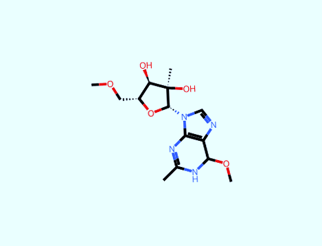 COC[C@H]1O[C@@H](n2cnc3c2N=C(C)NC3OC)[C@](C)(O)[C@@H]1O